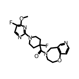 COc1nc(N2CCC(F)(C(=O)N3CCOc4ccncc4C3)CC2)ncc1F